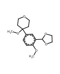 COc1ccc(C2(OC)CCOCC2)cc1C1OCCO1